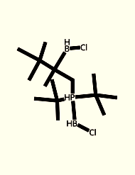 CC(C)(C)C(C)(BCl)C[PH](BCl)(C(C)(C)C)C(C)(C)C